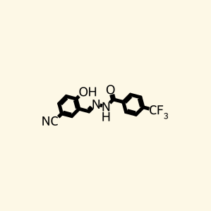 N#Cc1ccc(O)c(/C=N/NC(=O)c2ccc(C(F)(F)F)cc2)c1